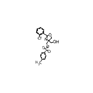 Cc1ccc(S(=O)(=O)OCC2(CO)COC(c3ccccc3Cl)=N2)cc1